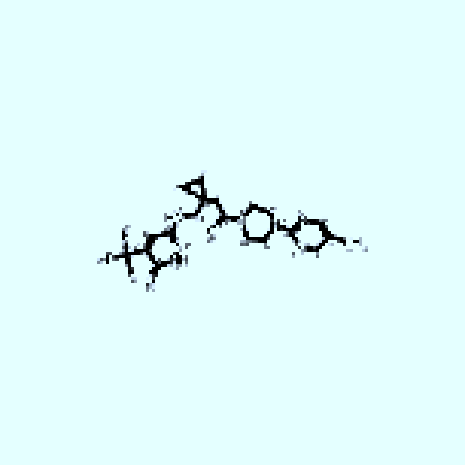 Cc1cnc(N2CCN(C(=O)CC3(CNc4cc(C(F)(F)F)c(=O)[nH]n4)CC3)CC2)nc1